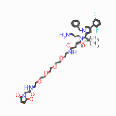 CC(C)(C)C(c1cc(-c2cc(F)ccc2F)cn1Cc1ccccc1)N(CCCN)C(=O)CCC(=O)NCCOCCOCCOCCOCCNC(=O)CN1C(=O)C=CC1=O